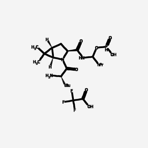 CCCC(NC(=O)[C@@H]1C[C@H]2[C@@H](N1C(=O)[C@@H](N)C(C)(C)C)C2(C)C)O[PH](=O)O.O=C(O)C(F)(F)F